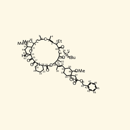 CCC1/C=C(\C)CC(C)CC(OC)C2OC(O)(C(=O)C(=O)N3CCCCC3C(=O)OC(C(C)=CC3CCC(O)(CC(=O)OCc4ccccc4)C(OC)C3)C(C)C(O[Si](C)(C)C(C)(C)C)CC1=O)C(C)CC2OC